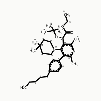 CCCCCc1ccc(-c2c(C)nc(C)c([C@H](OC(C)(C)C)C(=O)OCC)c2N2CCC(C)(C)CC2)cc1